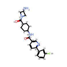 NC1CN(C(=O)C2CCC(NC(=O)c3ccc(-c4cccc(F)c4)nc3)CC2)C1